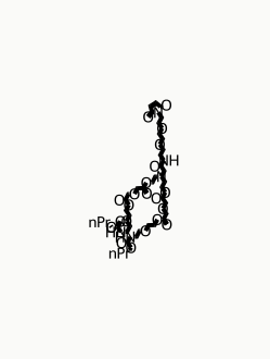 CCCOC(=O)NCCOCCOC(=O)COCC(=O)OCCN(CCOC(=O)COCC(=O)OCCOCCNC(=O)OCCC)CC(=O)NCCOCCOCCN1C(=O)C=CC1=O